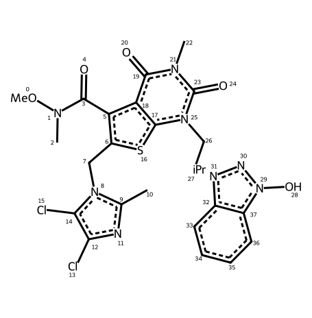 CON(C)C(=O)c1c(Cn2c(C)nc(Cl)c2Cl)sc2c1c(=O)n(C)c(=O)n2CC(C)C.On1nnc2ccccc21